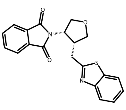 O=C1c2ccccc2C(=O)N1[C@@H]1COC[C@@H]1Cc1nc2ccccc2s1